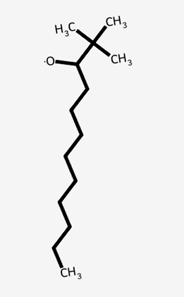 CCCCCCCCCC([O])C(C)(C)C